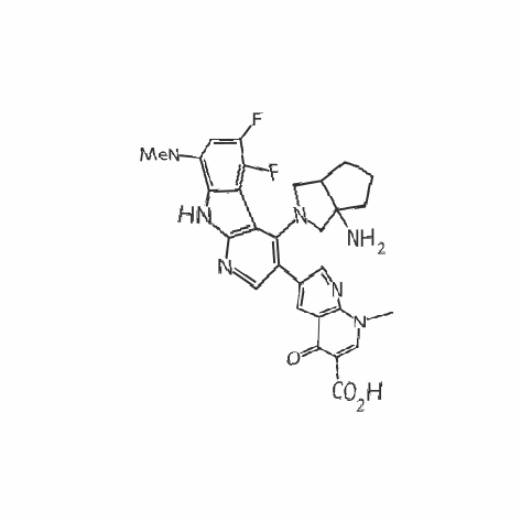 CNc1cc(F)c(F)c2c1[nH]c1ncc(-c3cnc4c(c3)c(=O)c(C(=O)O)cn4C)c(N3CC4CCCC4(N)C3)c12